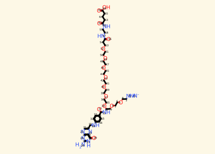 [N-]=[N+]=NCCOCCOCC(NC(=O)c1ccc(NCc2cnc3nc(N)[nH]c(=O)c3n2)cc1)OCCOCCOCCOCCOCCOCCOCCC(=O)NCCNC(=O)CCCC(=O)O